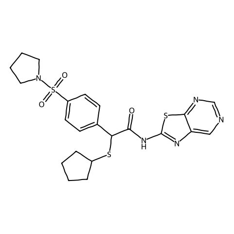 O=C(Nc1nc2cncnc2s1)C(SC1CCCC1)c1ccc(S(=O)(=O)N2CCCC2)cc1